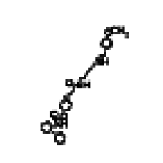 COc1ccc(CCNCCCCCNC(=O)CCN2CCC(OC(=O)Nc3ccccc3-c3ccccc3)CC2)cc1